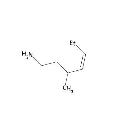 CC/C=C\C(C)CCN